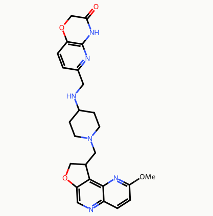 COc1ccc2ncc3c(c2n1)C(CN1CCC(NCc2ccc4c(n2)NC(=O)CO4)CC1)CO3